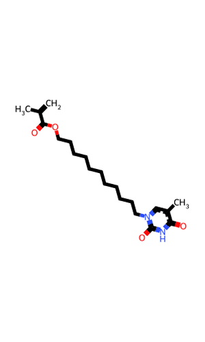 C=C(C)C(=O)OCCCCCCCCCCCn1cc(C)c(=O)[nH]c1=O